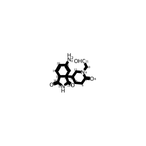 NC1=CC2(C3CCC(=O)N(CC=O)C3)C(=O)NC(=O)C2C=C1